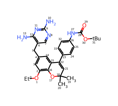 CCOc1cc(Cc2cnc(N)nc2N)cc2c1OC(C)(C)C=C2c1ccc(NC(=O)OC(C)(C)C)cc1